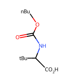 CCCCOC(=O)NC(C(=O)O)C(C)(C)C